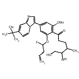 C=CCC(F)Oc1cc(-c2cnc3cc(C(C)(C)C#N)ccn23)cc(OC)c1C(=O)CCC(C)C(CO)CCC